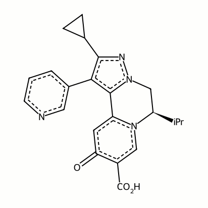 CC(C)[C@@H]1Cn2nc(C3CC3)c(-c3cccnc3)c2-c2cc(=O)c(C(=O)O)cn21